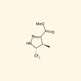 COC(=O)C1=NN[C@@H](C(F)(F)F)[C@@H]1C